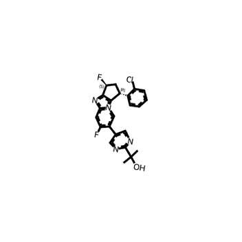 CC(C)(O)c1ncc(-c2cn3c4c(nc3cc2F)[C@@H](F)C[C@@H]4c2ccccc2Cl)cn1